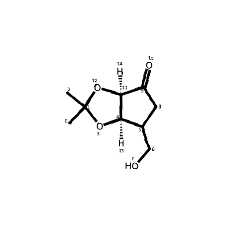 CC1(C)O[C@@H]2C(CO)CC(=O)[C@@H]2O1